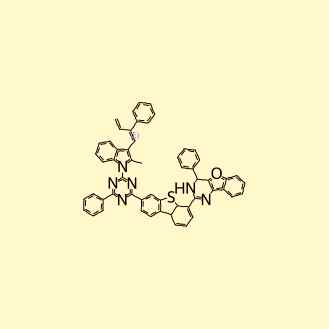 C=C/C(=C\c1c(C)n(-c2nc(-c3ccccc3)nc(-c3ccc4c(c3)SC3C(C5=Nc6c(oc7ccccc67)C(c6ccccc6)N5)=CC=CC43)n2)c2ccccc12)c1ccccc1